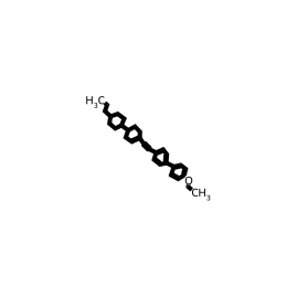 CCCC1CCC(C2CC=C(C#Cc3ccc(-c4ccc(OCC)cc4)cc3)CC2)CC1